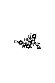 Cc1ccc(C(=O)Nc2ccc(Cl)cc2)cc1-c1nc(NCCN(C)C)nc2c1CNC(=O)N2c1c(F)cccc1F